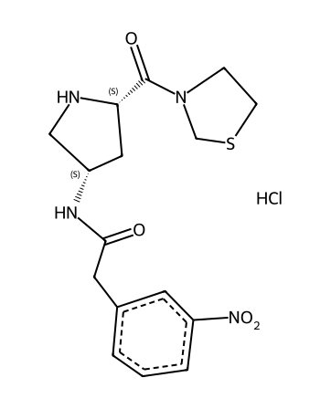 Cl.O=C(Cc1cccc([N+](=O)[O-])c1)N[C@@H]1CN[C@H](C(=O)N2CCSC2)C1